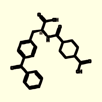 O=C(c1ccccc1)c1ccc(C[C@H](NC(=O)C2CCC(C(=O)O)CC2)C(=O)O)cc1